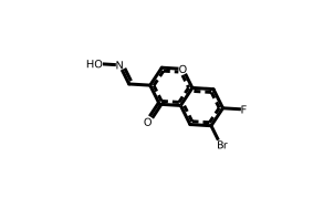 O=c1c(/C=N/O)coc2cc(F)c(Br)cc12